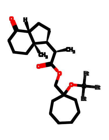 CC[Si](CC)(CC)OC1(COC(=O)[C@@H](C)[C@H]2CC[C@H]3C(=O)CCC[C@]23C)CCCCCC1